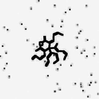 C=C/C=C\C1=C(C)OC(=C)/C(=C\C=C/C)C1(/C(C)=C/C=C\C)C(/C=C\C)=C/C=C